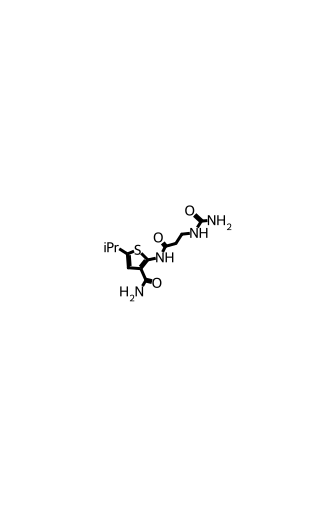 CC(C)c1cc(C(N)=O)c(NC(=O)CCNC(N)=O)s1